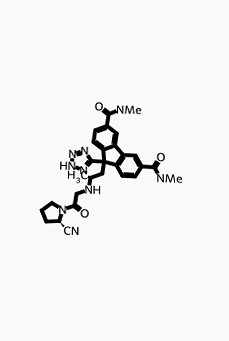 CNC(=O)c1ccc2c(c1)-c1cc(C(=O)NC)ccc1C2(C[C@H](C)NCC(=O)N1CCC[C@H]1C#N)c1nn[nH]n1